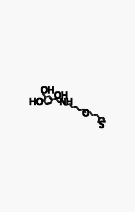 OCc1cc(C(O)CNCCCCCCOCCCc2ccsc2)ccc1O